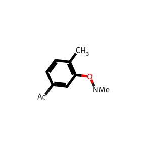 CNOc1cc(C(C)=O)ccc1C